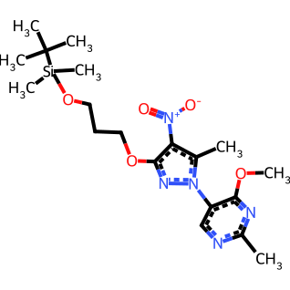 COc1nc(C)ncc1-n1nc(OCCCO[Si](C)(C)C(C)(C)C)c([N+](=O)[O-])c1C